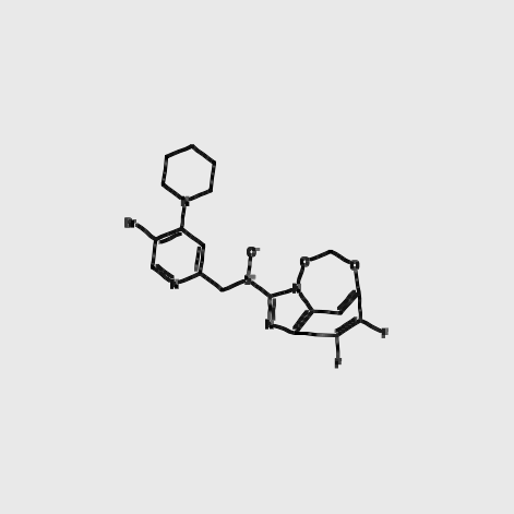 [O-][S+](Cc1cc(N2CCCCC2)c(Br)cn1)c1nc2c(F)c(F)c3cc2n1OCO3